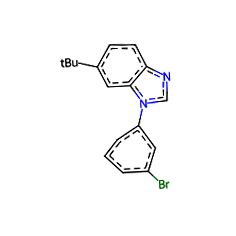 CC(C)(C)c1ccc2ncn(-c3cccc(Br)c3)c2c1